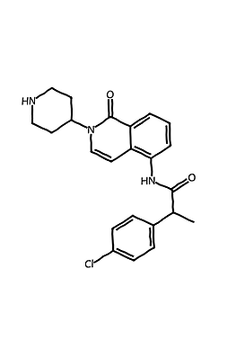 CC(C(=O)Nc1cccc2c(=O)n(C3CCNCC3)ccc12)c1ccc(Cl)cc1